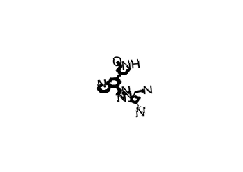 N#CC[C@]1(n2ncc(-c3cc(-c4cc[nH]c(=O)c4)cc4ncccc34)n2)C[C@@H](C#N)C1